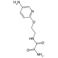 NC(=O)C(=O)NCCOc1ccc(N)cn1